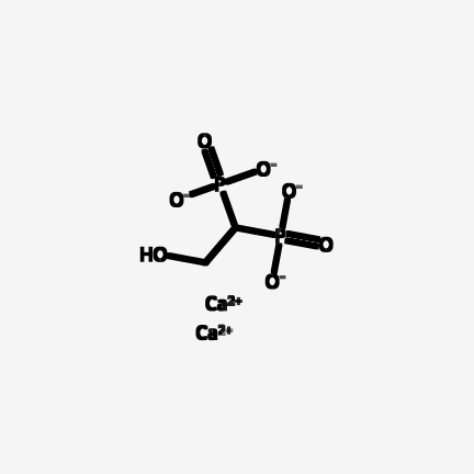 O=P([O-])([O-])C(CO)P(=O)([O-])[O-].[Ca+2].[Ca+2]